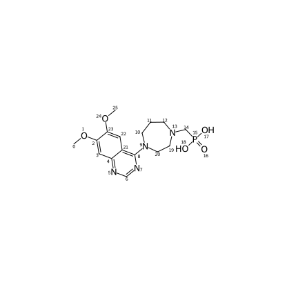 COc1cc2ncnc(N3CCCN(CP(=O)(O)O)CC3)c2cc1OC